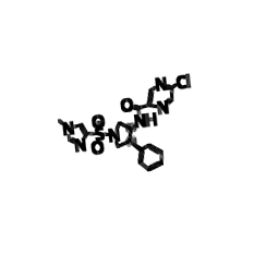 Cn1cnc(S(=O)(=O)N2C[C@H](NC(=O)c3cnc(Cl)cn3)[C@@H](c3ccccc3)C2)c1